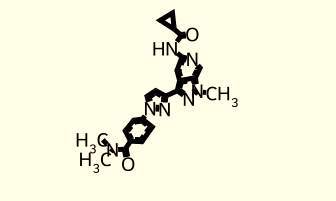 CN(C)C(=O)c1ccc(-n2ccc(-c3nn(C)c4cnc(NC(=O)C5CC5)cc34)n2)cc1